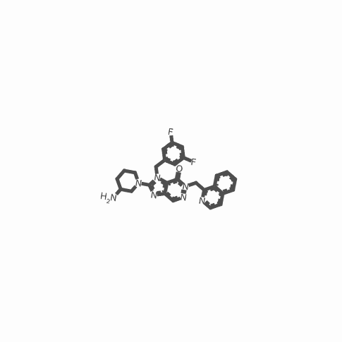 NC1CCCN(c2nc3cnn(Cc4nccc5ccccc45)c(=O)c3n2Cc2cc(F)cc(F)c2)C1